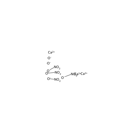 O=[N+]([O-])[O-].O=[N+]([O-])[O-].O=[N+]([O-])[O-].O=[N+]([O-])[O-].[Ca+2].[Ca+2].[Ca+2].[O-].[O-]